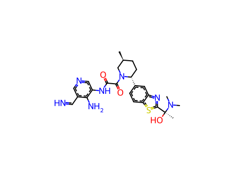 C[C@H]1CC[C@H](c2ccc3sc([C@](C)(O)N(C)C)nc3c2)N(C(=O)C(=O)Nc2cncc(C=N)c2N)C1